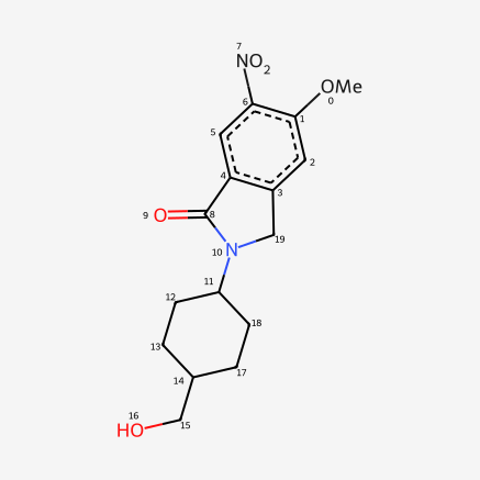 COc1cc2c(cc1[N+](=O)[O-])C(=O)N(C1CCC(CO)CC1)C2